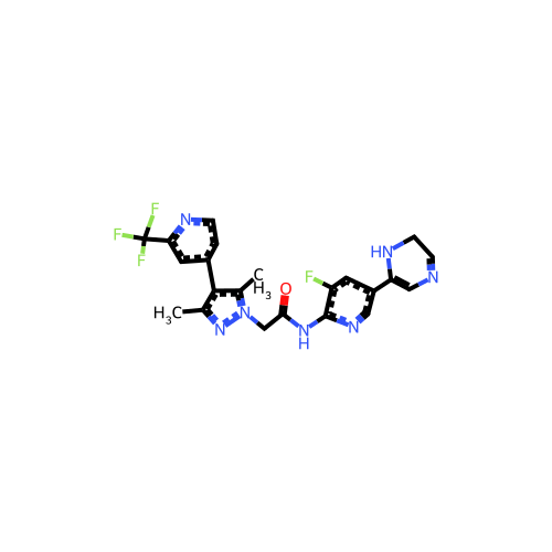 Cc1nn(CC(=O)Nc2ncc(C3=CN=CCN3)cc2F)c(C)c1-c1ccnc(C(F)(F)F)c1